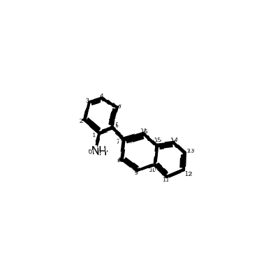 [NH]c1ccccc1-c1ccc2ccccc2c1